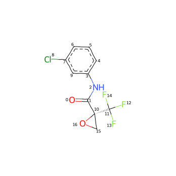 O=C(Nc1cccc(Cl)c1)[C@@]1(C(F)(F)F)CO1